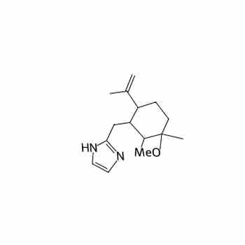 C=C(C)C1CCC(C)(C)C(OC)C1Cc1ncc[nH]1